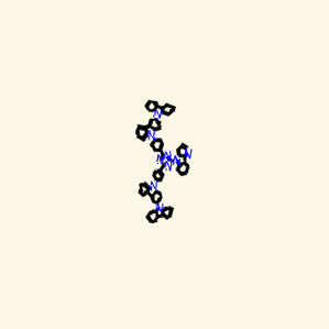 c1ccc2c(c1)c1ccccc1n2-c1ccc2c(c1)c1ccccc1n2-c1ccc(-c2nc(-c3ccc(-n4c5ccccc5c5cc(-n6c7ccccc7c7ccccc76)ccc54)cc3)nc(-n3c4ccccc4c4ncccc43)n2)cc1